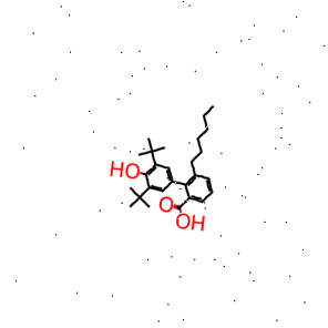 CCCCCCc1cccc(C(=O)O)c1-c1cc(C(C)(C)C)c(O)c(C(C)(C)C)c1